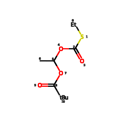 CCSC(=O)OC(C)OC(=O)C(C)(C)C